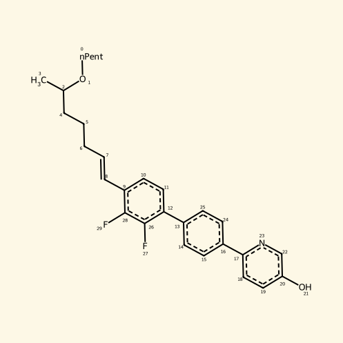 CCCCCOC(C)CCCC=Cc1ccc(-c2ccc(-c3ccc(O)cn3)cc2)c(F)c1F